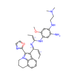 C\C=C/C(=N\C(=C/C)Nc1cc(N)c(NCCN(C)C)cc1OC)c1c(-c2ncco2)n2c3c(cccc13)CCC2